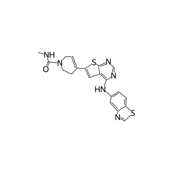 CNC(=O)N1CC=C(c2cc3c(Nc4ccc5scnc5c4)ncnc3s2)CC1